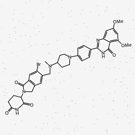 COc1cc(OC)c2c(=O)[nH]c(-c3ccc(N4CCC(N(C)Cc5cc6c(cc5Br)C(=O)N(C5CCC(=O)NC5=O)C6)CC4)cc3)nc2c1